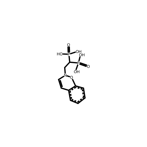 O=P(O)(O)C(CN1C=Cc2ccccc2O1)P(=O)(O)O